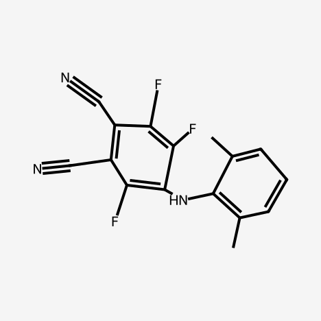 Cc1cccc(C)c1Nc1c(F)c(F)c(C#N)c(C#N)c1F